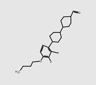 CCCCOc1ccc(C2CCC(C3CCC(C=O)CC3)CC2)c(F)c1F